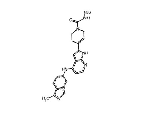 Cc1ncn2cc(Nc3ccnc4[nH]c(C5=CCN(C(=O)NC(C)(C)C)CC5)cc34)ccc12